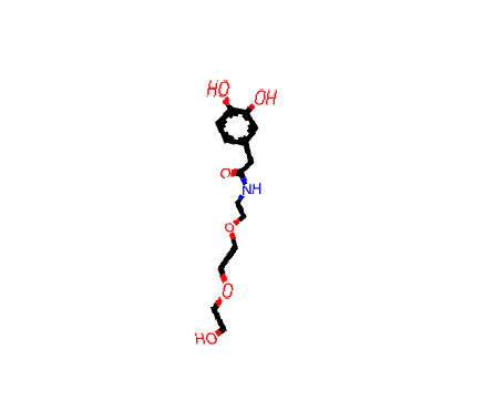 O=C(Cc1ccc(O)c(O)c1)NCCOCCOCCO